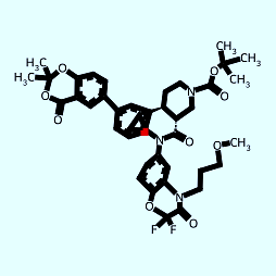 COCCCN1C(=O)C(F)(F)Oc2ccc(N(C(=O)[C@H]3CN(C(=O)OC(C)(C)C)CC[C@@H]3c3cccc(-c4ccc5c(c4)C(=O)OC(C)(C)O5)c3)C3CC3)cc21